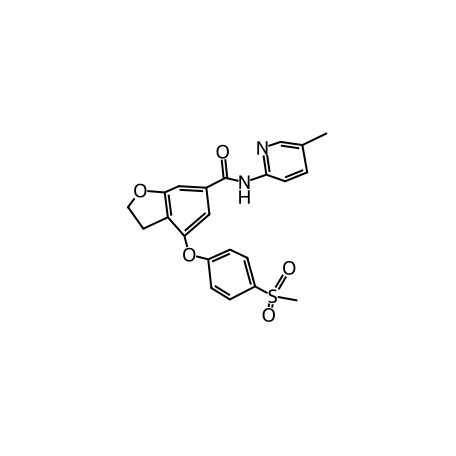 Cc1ccc(NC(=O)c2cc3c(c(Oc4ccc(S(C)(=O)=O)cc4)c2)CCO3)nc1